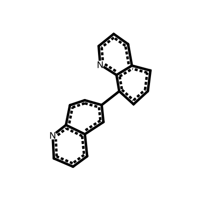 c1cnc2ccc(-c3cccc4cccnc34)cc2c1